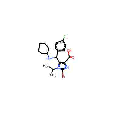 CC(C)n1c(Br)nc(C(=O)O)c1C(NC1CCCCC1)c1ccc(Cl)cc1